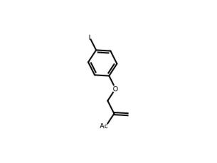 C=C(COc1ccc(I)cc1)C(C)=O